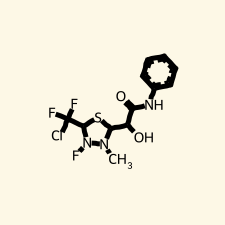 CN1C(C(O)C(=O)Nc2ccccc2)SC(C(F)(F)Cl)N1F